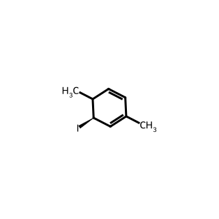 CC1=C[C@@H](I)C(C)C=C1